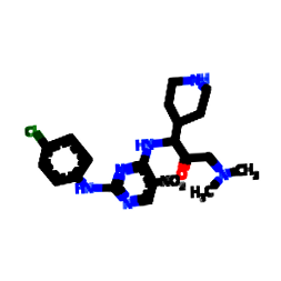 CN(C)CC(=O)C(Nc1nc(Nc2ccc(Cl)cc2)ncc1[N+](=O)[O-])C1CCNCC1